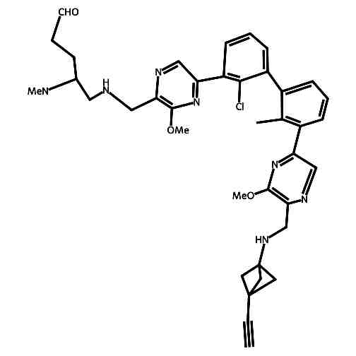 C#CC12CC(NCc3ncc(-c4cccc(-c5cccc(-c6cnc(CNCC(CCC=O)NC)c(OC)n6)c5Cl)c4C)nc3OC)(C1)C2